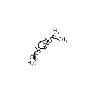 CCCCC(CC)COC(=S)SC1CCC=CCCC(SC(=S)OCC(CC)CCCC)C2CCC1S2